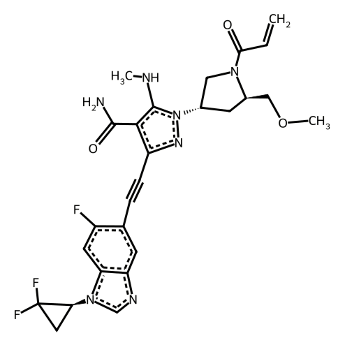 C=CC(=O)N1C[C@@H](n2nc(C#Cc3cc4ncn([C@H]5CC5(F)F)c4cc3F)c(C(N)=O)c2NC)C[C@@H]1COC